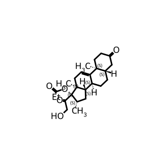 CCC(=O)O[C@@]1(C(=O)CO)[C@@H](C)C[C@H]2[C@@H]3CC[C@H]4CC(=O)CC[C@]4(C)C3=CC[C@@]21C